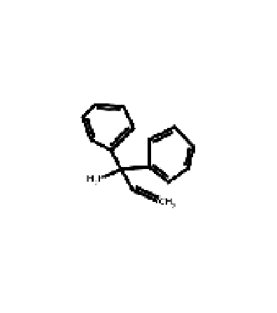 C=CC(P)(c1ccccc1)c1ccccc1